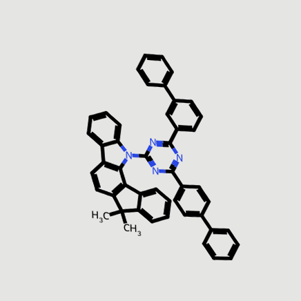 CC1(C)c2ccccc2-c2c1ccc1c3ccccc3n(-c3nc(-c4ccc(-c5ccccc5)cc4)nc(-c4cccc(-c5ccccc5)c4)n3)c21